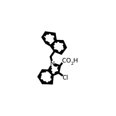 O=C(O)c1c(Cl)c2ccccc2n1Cc1cccc2ccccc12